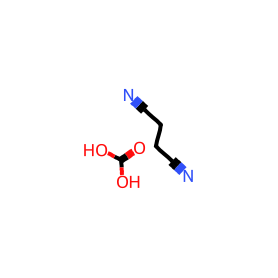 N#CCCC#N.O=C(O)O